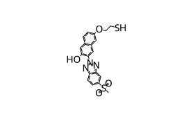 CS(=O)(=O)c1ccc2nn(-c3cc4cc(OCCS)ccc4cc3O)nc2c1